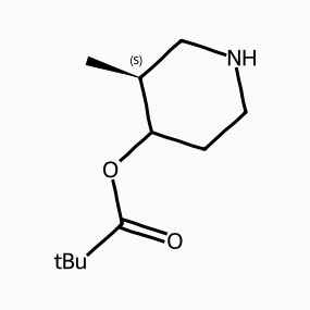 C[C@H]1CNCCC1OC(=O)C(C)(C)C